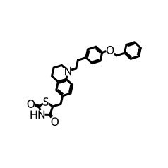 O=C1NC(=O)C(Cc2ccc3c(c2)CCCN3CCc2ccc(OCc3ccccc3)cc2)S1